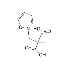 CC(CN1C=CC=CO1)(C(=O)O)C(=O)O